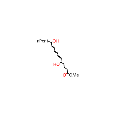 CCCCCC(O)C=CC=CC=CC(O)CCCC(=O)OC